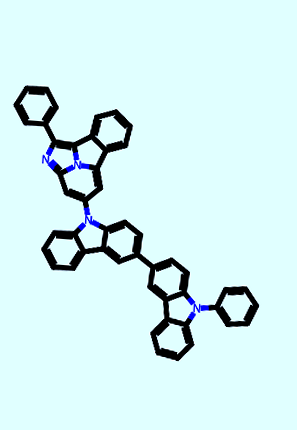 c1ccc(-c2nc3cc(-n4c5ccccc5c5cc(-c6ccc7c(c6)c6ccccc6n7-c6ccccc6)ccc54)cc4c5ccccc5c2n34)cc1